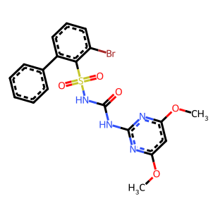 COc1cc(OC)nc(NC(=O)NS(=O)(=O)c2c(Br)cccc2-c2ccccc2)n1